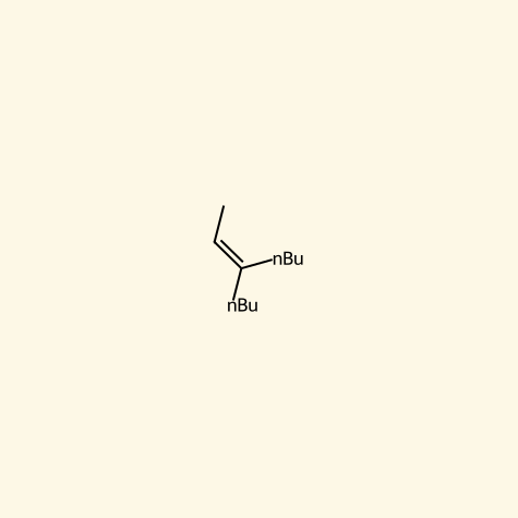 CC=C(CCCC)CCCC